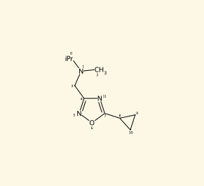 CC(C)N(C)Cc1noc(C2CC2)n1